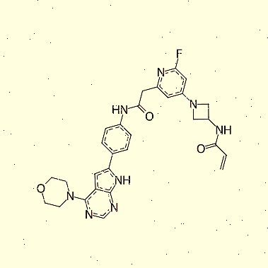 C=CC(=O)NC1CN(c2cc(F)nc(CC(=O)Nc3ccc(-c4cc5c(N6CCOCC6)ncnc5[nH]4)cc3)c2)C1